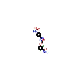 NC(=O)c1c(F)ccc(OCc2nc(-c3ccc(NC(=O)O)cc3)no2)c1F